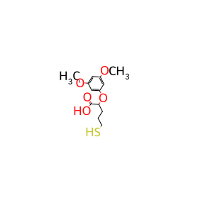 COc1cc(OC)cc(OC(CCCS)C(=O)O)c1